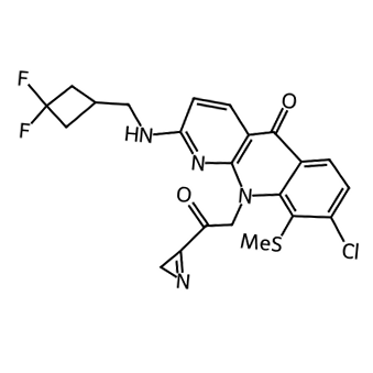 CSc1c(Cl)ccc2c(=O)c3ccc(NCC4CC(F)(F)C4)nc3n(CC(=O)C3=NC3)c12